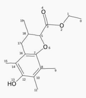 CCOC(=O)C1Oc2c(C)c(C)c(O)c(C)c2CC1C